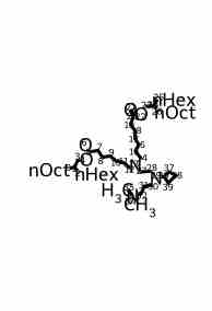 CCCCCCCCC(CCCCCC)COC(=O)CCCCCCN(CCCCCCC(=O)OCC(CCCCCC)CCCCCCCC)CCN(CCCN(C)C)C1CCC1